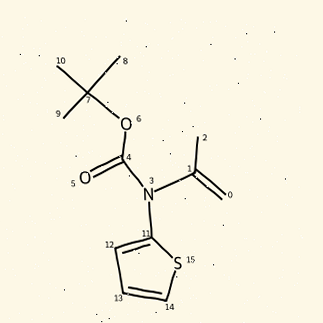 C=C(C)N(C(=O)OC(C)(C)C)c1cccs1